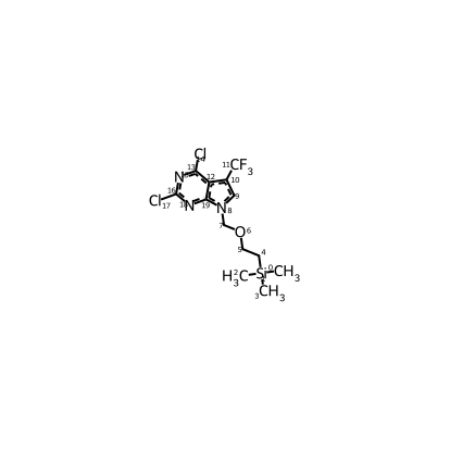 C[Si](C)(C)CCOCn1cc(C(F)(F)F)c2c(Cl)nc(Cl)nc21